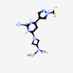 CN(C(=O)O)C1CN(c2cc(-c3cnn(C(F)F)c3)nc(N)n2)C1